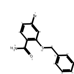 NC(=O)c1ccc(Br)cc1SCc1ccccc1